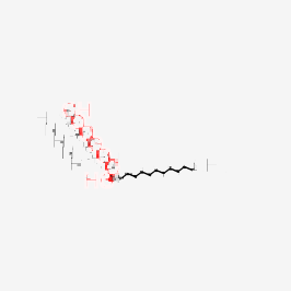 CCCCCCCCCCCC[SiH](O)O[SiH2]O[SiH2]O[SiH2]O[SiH2]O[SiH2]O